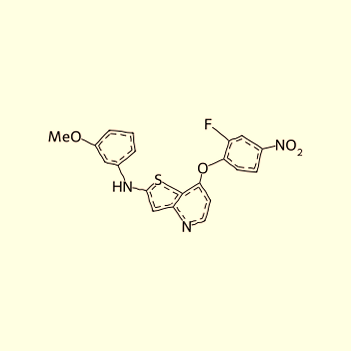 COc1cccc(Nc2cc3nccc(Oc4ccc([N+](=O)[O-])cc4F)c3s2)c1